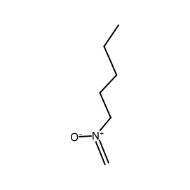 C=[N+]([O-])CCCCC